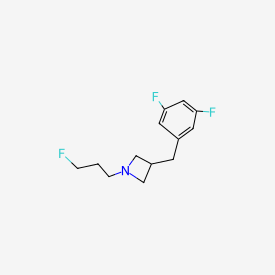 FCCCN1CC(Cc2cc(F)cc(F)c2)C1